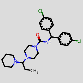 CCC(N1CCCCC1)N1CCN(C(=O)NC(c2ccc(Cl)cc2)c2ccc(Cl)cc2)CC1